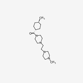 CN1CCN(CCN2CCN(C(=O)[C@H]3CC[C@H](C)CC3)CC2)CC1